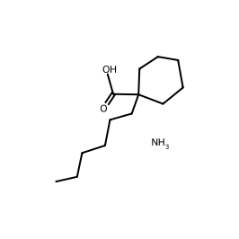 CCCCCCC1(C(=O)O)CCCCC1.N